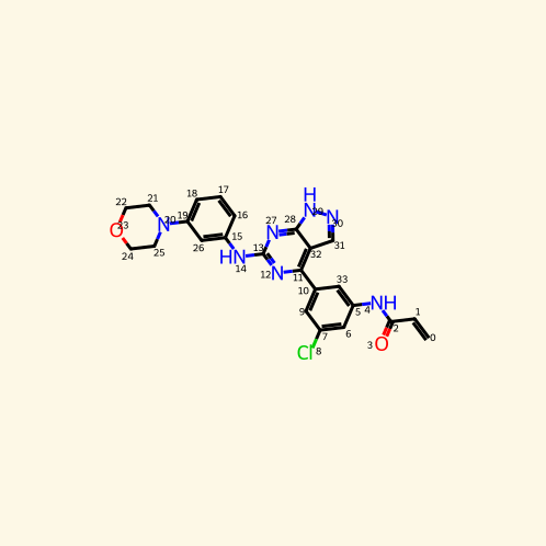 C=CC(=O)Nc1cc(Cl)cc(-c2nc(Nc3cccc(N4CCOCC4)c3)nc3[nH]ncc23)c1